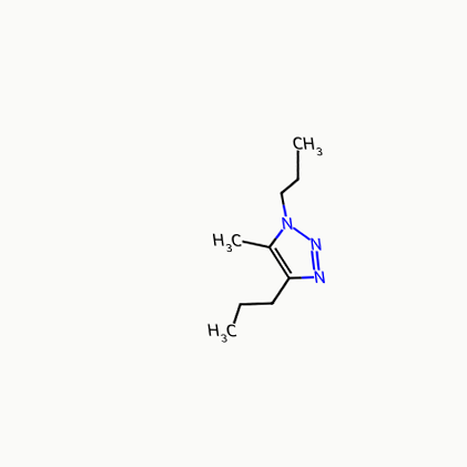 CCCc1nnn(CCC)c1C